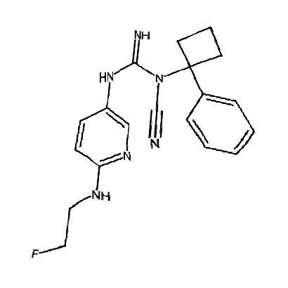 N#CN(C(=N)Nc1ccc(NCCF)nc1)C1(c2ccccc2)CCC1